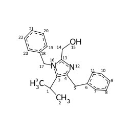 CC(C)c1c(Cc2ccccc2)nc(CO)n1Cc1ccccc1